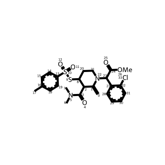 C=C1C(C(=O)N(C)C)C(SS(=O)(=O)c2ccc(C)cc2)CCN1C(C(=O)OC)c1ccccc1Cl